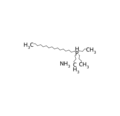 CCCCCCCCCCCCCCCC[PH](CCCC)(CCCC)CCCC.N